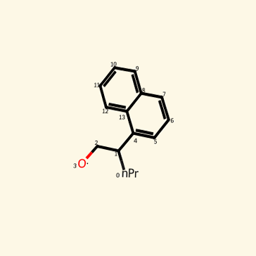 CCCC(C[O])c1cccc2ccccc12